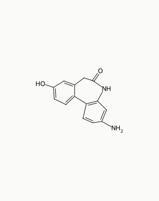 Nc1ccc2c(c1)NC(=O)Cc1cc(O)ccc1-2